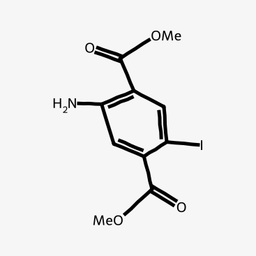 COC(=O)c1cc(I)c(C(=O)OC)cc1N